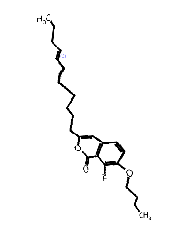 CCC/C=C/CCCCCCc1cc2ccc(OCCCC)c(F)c2c(=O)o1